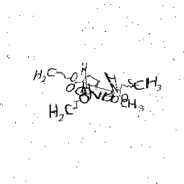 C=CCOC(=O)N[C@@]1(C(=O)N[C@@H](CCSC)C(=O)OC)CC[C@H]2[C@H](C(=O)OCC=C)[C@H]21